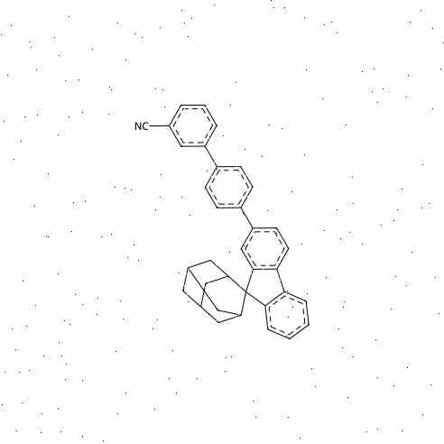 N#Cc1cccc(-c2ccc(-c3ccc4c(c3)C3(c5ccccc5-4)C4CC5CC(C4)CC3C5)cc2)c1